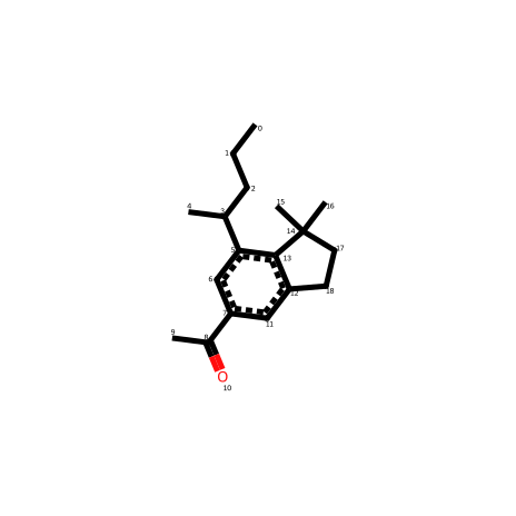 CCCC(C)c1cc(C(C)=O)cc2c1C(C)(C)CC2